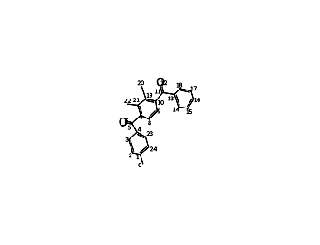 Cc1ccc(C(=O)c2ccc(C(=O)c3ccccc3)c(C)c2C)cc1